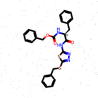 O=C(N[C@@H](Cc1ccccc1)C(=O)Nc1nnc(SCc2ccccc2)s1)OCc1ccccc1